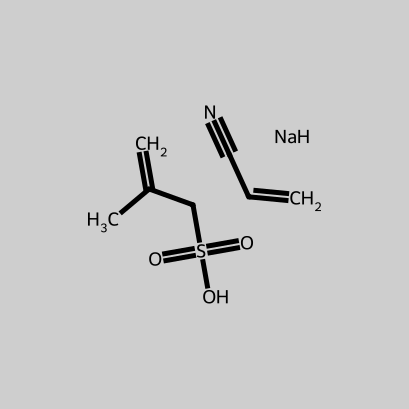 C=C(C)CS(=O)(=O)O.C=CC#N.[NaH]